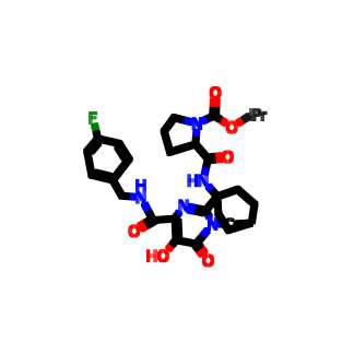 CC(C)OC(=O)N1CCCC1C(=O)NC12CCC(CC1)Cn1c2nc(C(=O)NCc2ccc(F)cc2)c(O)c1=O